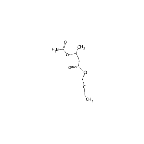 CCCCOC(=O)CC(C)OC(N)=O